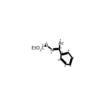 CCOC(=O)ON=C(C(C)=O)c1ccccc1